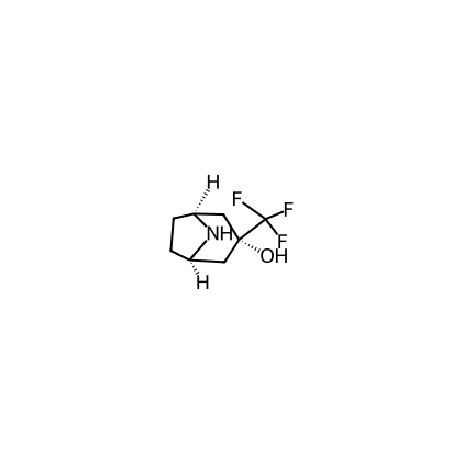 O[C@]1(C(F)(F)F)C[C@H]2CC[C@@H](C1)N2